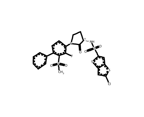 CS(=O)(=O)c1c(-c2ccccc2)ccc(N2CC[C@H](NS(=O)(=O)c3cc4sc(Cl)cc4s3)C2=O)c1F